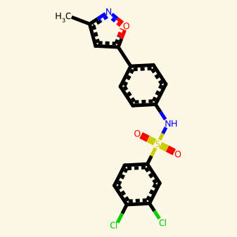 Cc1cc(-c2ccc(NS(=O)(=O)c3ccc(Cl)c(Cl)c3)cc2)on1